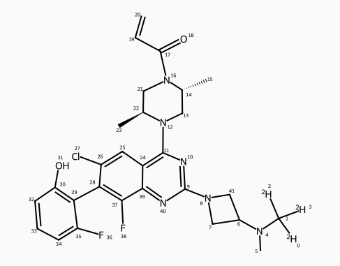 [2H]C([2H])([2H])N(C)C1CN(c2nc(N3C[C@@H](C)N(C(=O)C=C)C[C@@H]3C)c3cc(Cl)c(-c4c(O)cccc4F)c(F)c3n2)C1